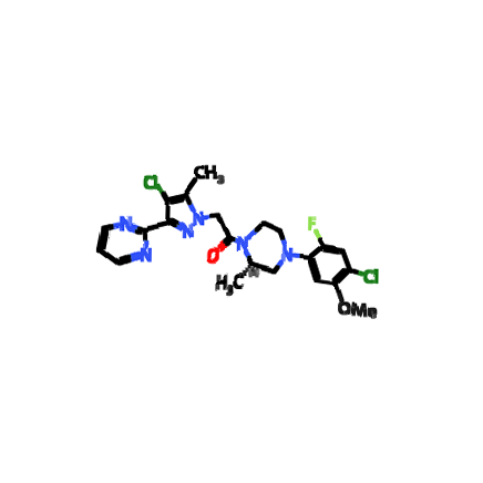 COc1cc(N2CCN(C(=O)Cn3nc(-c4ncccn4)c(Cl)c3C)[C@@H](C)C2)c(F)cc1Cl